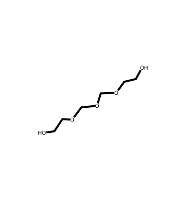 OCCOCOCOCCO